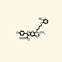 CCc1cc2c(C(=O)NC)c(-c3ccc(F)cc3)oc2nc1N(CCCCOc1ccccc1C#N)[S+](C)[O-]